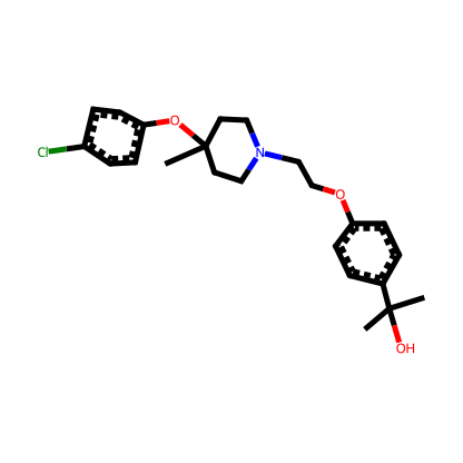 CC1(Oc2ccc(Cl)cc2)CCN(CCOc2ccc(C(C)(C)O)cc2)CC1